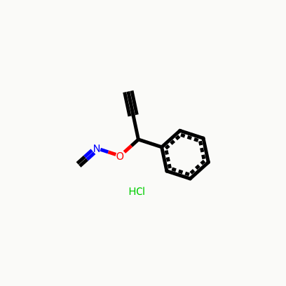 C#CC(ON=C)c1ccccc1.Cl